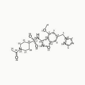 COc1cc(Cn2cccn2)cc2onc(NS(=O)(=O)C3CCN(C(C)=O)CC3)c12